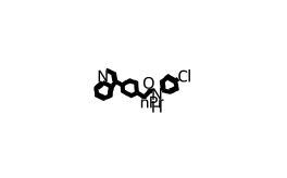 CCCC(C(=O)Nc1ccc(Cl)cc1)C1CCC(c2ccnc3ccccc23)CC1